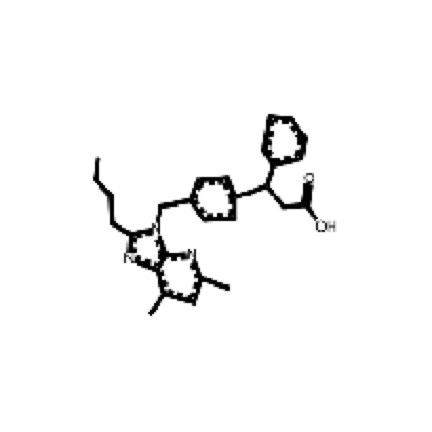 CCCCc1nc2c(C)cc(C)nc2n1Cc1ccc(C(CC(=O)O)c2ccccc2)cc1